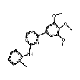 COc1cc(-c2ccnc(Nc3ccccc3C)n2)cc(OC)c1OC